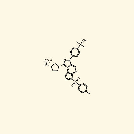 Cc1ccc(S(=O)(=O)n2ccc3c2ncc2c(-c4ccc(C(C)(C)O)cc4)nc([C@@H]4CC[C@H](NC(=O)O)C4)n23)cc1